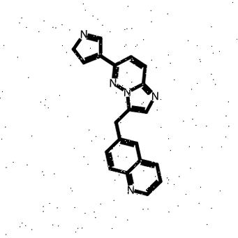 C1=NCC=C1c1ccc2ncc(Cc3ccc4ncccc4c3)n2n1